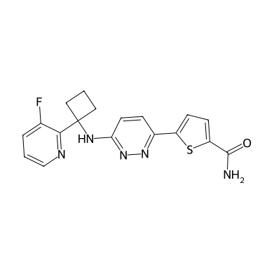 NC(=O)c1ccc(-c2ccc(NC3(c4ncccc4F)CCC3)nn2)s1